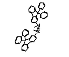 C[Si](C)(O[Si](C)(C)c1ccc2c(c1)C(c1ccccc1)(c1ccccc1)c1ccccc1-2)c1ccc2c(c1)C(c1ccccc1)(c1ccccc1)c1ccccc1-2